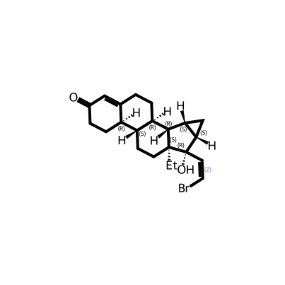 CC[C@]12CC[C@H]3[C@@H](CCC4=CC(=O)CC[C@@H]43)[C@@H]1[C@@H]1C[C@@H]1[C@@]2(O)/C=C\Br